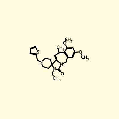 CCN1C(=O)N2Cc3cc(OC)cc(OC)c3C(C)C=C2C12CCN(Cc1cccs1)CC2